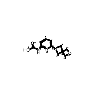 O=C(O)Nc1cccc(N2CC3(COC3)C2)n1